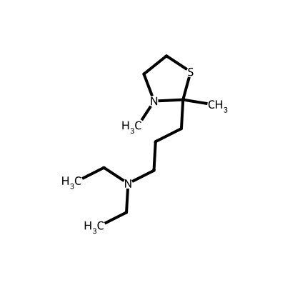 CCN(CC)CCCC1(C)SCCN1C